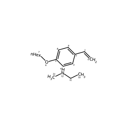 C=Cc1ccc(OCCCCCC)cc1.CCNC